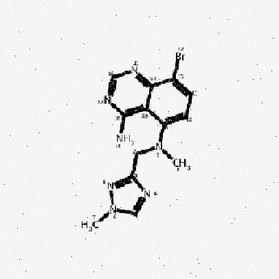 CN(Cc1ncn(C)n1)c1ccc(Br)c2ncnc(N)c12